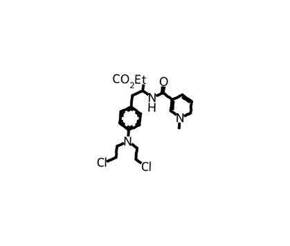 CCOC(=O)C(Cc1ccc(N(CCCl)CCCl)cc1)NC(=O)C1=CN(C)CC=C1